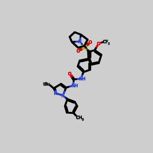 Cc1ccc(-n2nc(C(C)(C)C)cc2NC(=O)Nc2ccc(CC3CC4CCC(C3)N4S(=O)(=O)c3ccccc3OC(F)(F)F)cc2)cc1